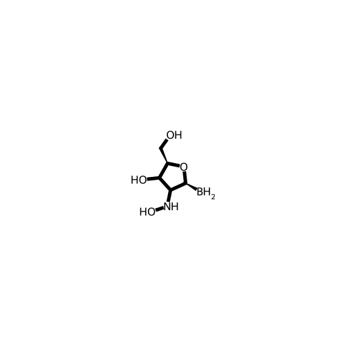 B[C@@H]1O[C@H](CO)C(O)C1NO